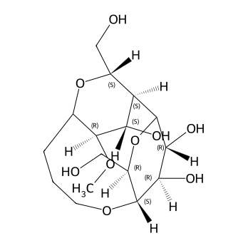 CO[C@H]1C2CCCO[C@H]3[C@H](O)[C@@H](O)C(O[C@@H]3CO)[C@@H]([C@@H]1O)[C@@H](CO)O2